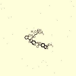 CN1CCCC1c1nc2cnc(NC(=O)c3ccc4c(cnn4C)c3)cc2n1COCC[Si](C)(C)C